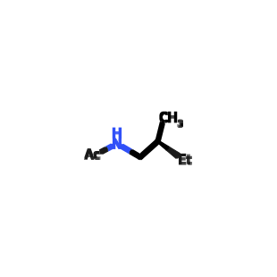 CC[C@H](C)CNC(C)=O